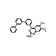 CNc1nc(-c2cccc(-c3cccc(-c4ccccc4)c3)c2)c2cc(OC)c(OC)cc2n1